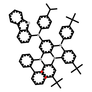 CC(C)c1ccc(N(c2cc3c4c(c2)N(c2ccccc2-c2ccccc2)c2ccc(C(C)(C)C)cc2B4c2cc(C(C)(C)C)ccc2N3c2ccc(C(C)(C)C)cc2)c2cccc3c2oc2ccccc23)cc1